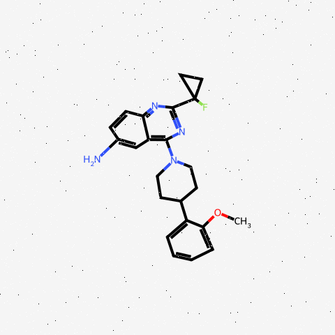 COc1ccccc1C1CCN(c2nc(C3(F)CC3)nc3ccc(N)cc23)CC1